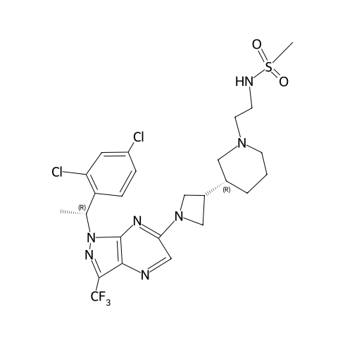 C[C@H](c1ccc(Cl)cc1Cl)n1nc(C(F)(F)F)c2ncc(N3CC([C@H]4CCCN(CCNS(C)(=O)=O)C4)C3)nc21